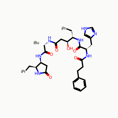 CC[C@H](C)[C@H](NC(=O)C[C@H](O)[C@H](CC(C)C)NC(=O)[C@H](Cc1c[nH]cn1)NC(=O)CCc1ccccc1)C(=O)N[C@H]1CC(=O)N[C@H]1CC(C)C